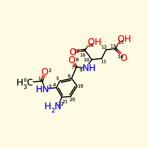 CC(=O)Nc1cc(C(=O)NC(CCC(=O)O)C(=O)O)ccc1N